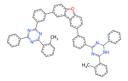 Cc1ccccc1C1=NC(c2cccc(-c3ccc4oc5ccc(-c6cccc(-c7nc(-c8ccccc8)nc(-c8ccccc8C)n7)c6)cc5c4c3)c2)=NC(c2ccccc2)N1